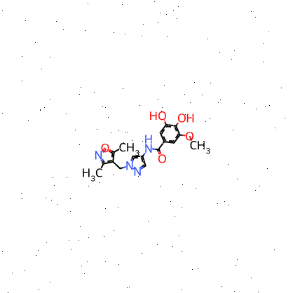 COc1cc(C(=O)Nc2cnn(Cc3c(C)noc3C)c2)cc(O)c1O